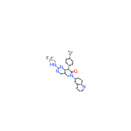 O=c1c(-c2ccc(C3CC3)cc2)c2nc(NCC(F)(F)F)ncc2cn1-c1ccc2ncccc2c1